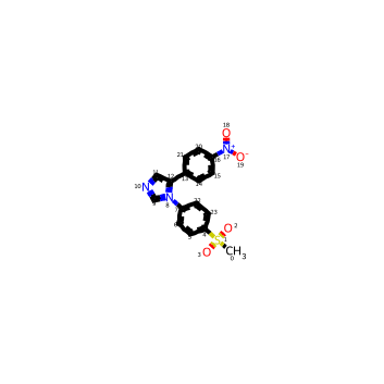 CS(=O)(=O)c1ccc(-n2cncc2-c2ccc([N+](=O)[O-])cc2)cc1